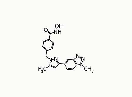 Cn1nnc2cc(-c3cc(C(F)(F)F)n(Cc4ccc(C(=O)NO)cc4)n3)ccc21